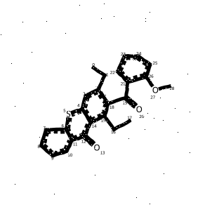 CCc1cc2sc3ccccc3c(=O)c2c(CC)c1C(=O)c1ccccc1OC